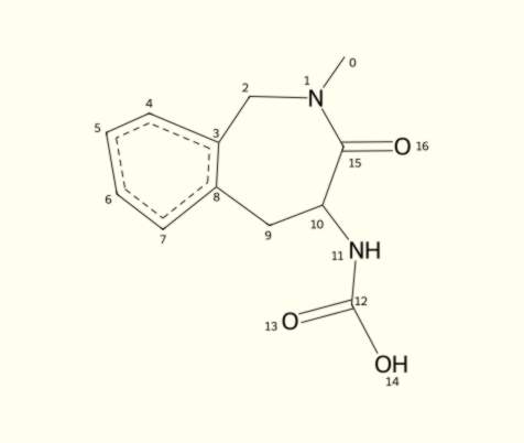 CN1Cc2ccccc2CC(NC(=O)O)C1=O